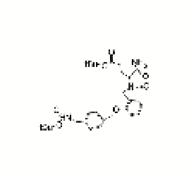 CC(C)(C)OC(=O)CCC(C(N)=O)N1Cc2c(OCc3ccc(CNC(=O)OC(C)(C)C)cc3)cccc2C1=O